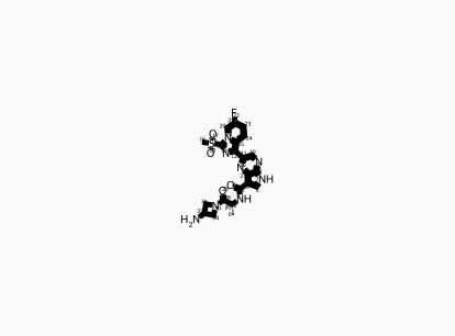 C[C@@H](NC(=O)c1c[nH]c2ncc(-c3nc(S(C)(=O)=O)n4cc(F)ccc34)nc12)C(=O)N1CC(N)C1